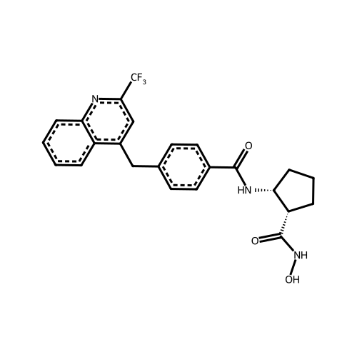 O=C(N[C@@H]1CCC[C@@H]1C(=O)NO)c1ccc(Cc2cc(C(F)(F)F)nc3ccccc23)cc1